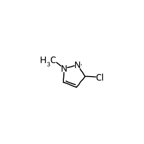 CN1C=CC(Cl)[N]1